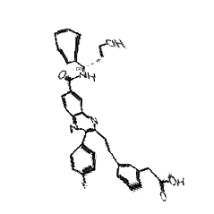 O=C(O)Cc1cccc(CCc2nc3cc(C(=O)N[C@@H](CCO)c4ccccc4)ccc3nc2-c2ccc(F)cc2)c1